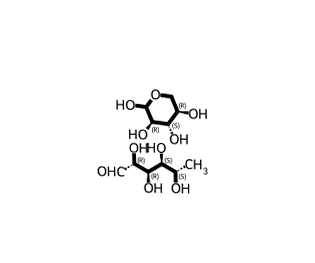 C[C@H](O)[C@H](O)[C@@H](O)[C@@H](O)C=O.OC1OC[C@@H](O)[C@H](O)[C@H]1O